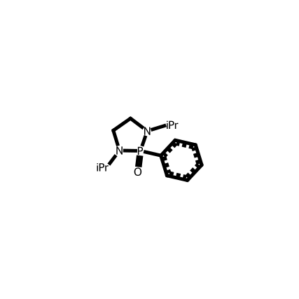 CC(C)N1CCN(C(C)C)P1(=O)c1ccccc1